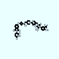 CCN(CC1CCN(c2ccc(CN3C(=S)N(c4ccc(C#N)c(C(F)(F)I)c4)C(=O)C3(C)C)cn2)CC1)[C@H]1C[C@H](Oc2ccc3c(c2)C(=O)N(C2CCC(=O)NC2=O)C3=O)C1